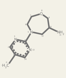 [CH2]c1cnc(N2CCOCC(N)C2)nc1